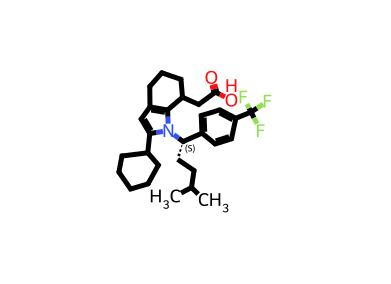 CC(C)CC[C@@H](c1ccc(C(F)(F)F)cc1)n1c(C2CCCCC2)cc2c1C(CC(=O)O)CCC2